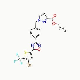 CCOC(=O)c1ccn(Cc2ccc(-c3noc(-c4cc(Br)c(C(F)(F)F)s4)n3)cc2)n1